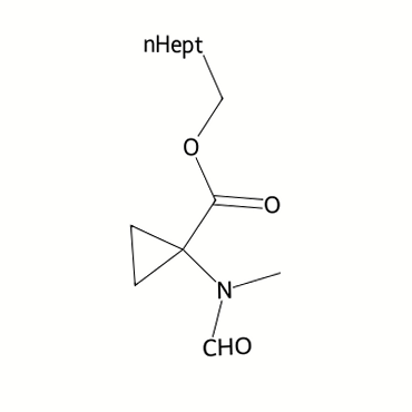 CCCCCCCCOC(=O)C1(N(C)C=O)CC1